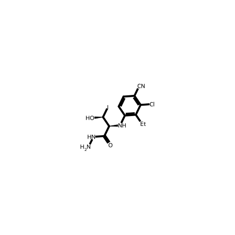 CCc1c(N[C@@H](C(=O)NN)[C@@H](O)I)ccc(C#N)c1Cl